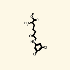 COC(=O)C(N)CCCC(=O)CNc1cc(Cl)cc(Cl)c1